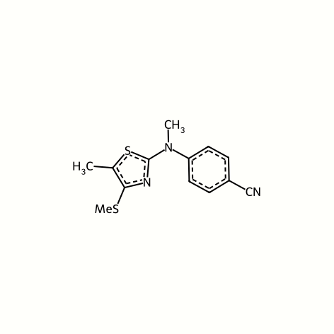 CSc1nc(N(C)c2ccc(C#N)cc2)sc1C